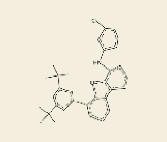 CC(C)(C)c1cc(-c2cccc3c2oc2c(Nc4cccc(Cl)c4)cccc23)cc(C(C)(C)C)c1